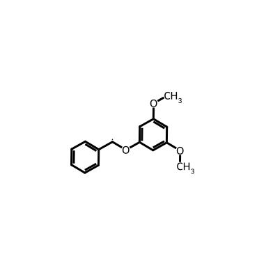 COc1cc(OC)cc(O[CH]c2ccccc2)c1